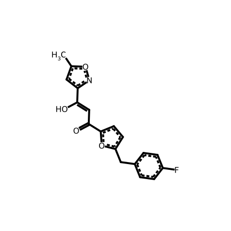 Cc1cc(C(O)=CC(=O)c2ccc(Cc3ccc(F)cc3)o2)no1